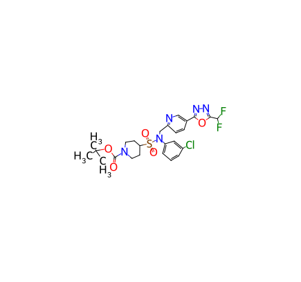 CC(C)(C)OC(=O)N1CCC(S(=O)(=O)N(Cc2ccc(-c3nnc(C(F)F)o3)cn2)c2cccc(Cl)c2)CC1